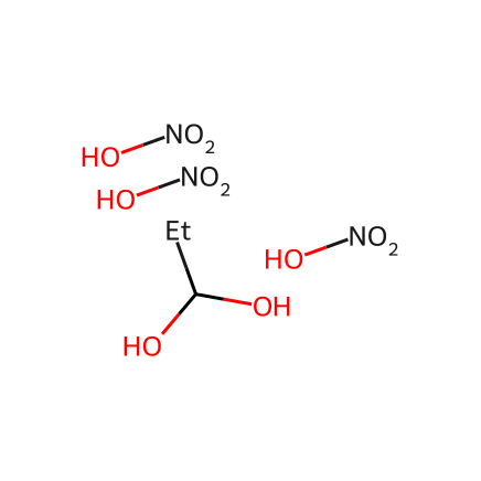 CCC(O)O.O=[N+]([O-])O.O=[N+]([O-])O.O=[N+]([O-])O